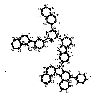 c1ccc(-c2cc3c(c4ccccc24)c2c4ccccc4ccc2n3-c2ccc3c(c2)sc2c(-c4nc(-c5ccc6ccccc6c5)nc(-c5ccc6oc7c8ccccc8ccc7c6c5)n4)cccc23)cc1